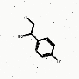 OC(CCl)c1ccc(Br)cc1